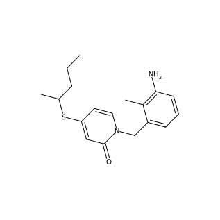 CCCC(C)Sc1ccn(Cc2cccc(N)c2C)c(=O)c1